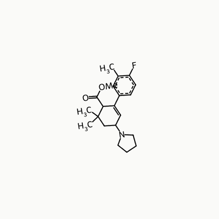 COC(=O)C1C(c2ccc(F)c(C)c2)=CC(N2CCCC2)CC1(C)C